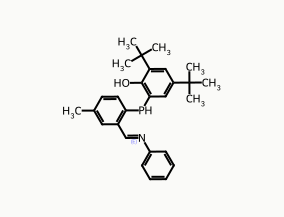 Cc1ccc(Pc2cc(C(C)(C)C)cc(C(C)(C)C)c2O)c(/C=N/c2ccccc2)c1